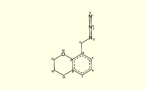 [N-]=[N+]=NCc1cccc2c1OCCC2